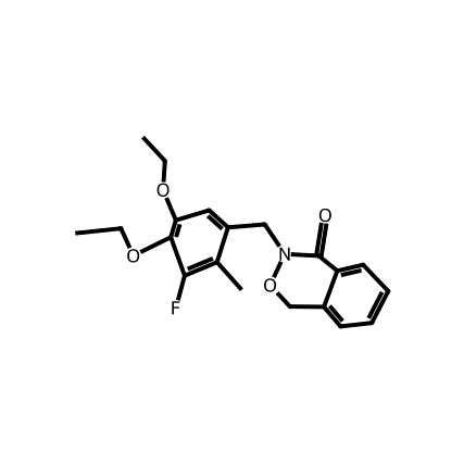 CCOc1cc(CN2OCc3ccccc3C2=O)c(C)c(F)c1OCC